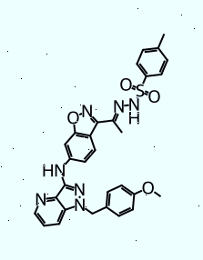 COc1ccc(Cn2nc(Nc3ccc4c(/C(C)=N/NS(=O)(=O)c5ccc(C)cc5)noc4c3)c3ncccc32)cc1